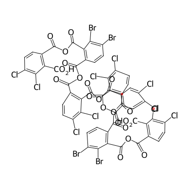 O=C(OC(=O)c1c(C(=O)OC(=O)c2ccc(Br)c(Br)c2C(=O)OC(=O)c2ccc(Cl)c(Cl)c2C(=O)O)ccc(Cl)c1Cl)c1cc(Cl)c(Cl)cc1C(=O)OC(=O)c1c(C(=O)OC(=O)c2ccc(Br)c(Br)c2C(=O)OC(=O)c2ccc(Cl)c(Cl)c2C(=O)O)ccc(Cl)c1Cl